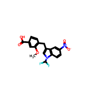 COc1cc(C(=O)O)ccc1Cc1cn(C(F)F)c2ccc([N+](=O)[O-])cc12